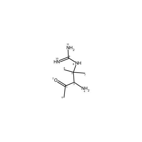 CC(=O)C(N)C(C)(C)NC(=N)N